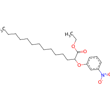 CCCCCCCCCCCCC(Oc1cccc([N+](=O)[O-])c1)C(=O)OCC